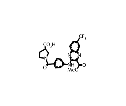 COC(=O)c1nc2cc(C(F)(F)F)ccc2nc1Nc1ccc(C(=O)N2CCC(C(=O)O)C2)cc1